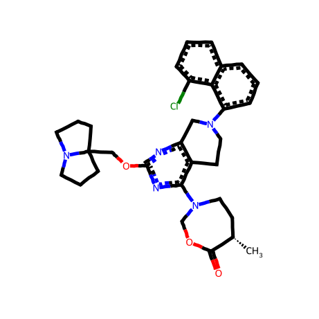 C[C@H]1CCN(c2nc(OCC34CCCN3CCC4)nc3c2CCN(c2cccc4cccc(Cl)c24)C3)COC1=O